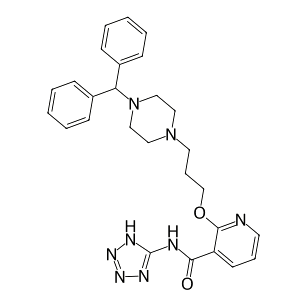 O=C(Nc1nnn[nH]1)c1cccnc1OCCCN1CCN(C(c2ccccc2)c2ccccc2)CC1